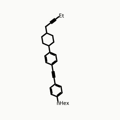 CCC#CCC1CCC(c2ccc(C#Cc3ccc(CCCCCC)cc3)cc2)CC1